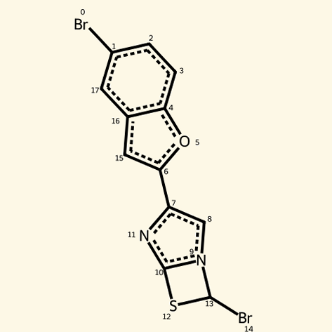 Brc1ccc2oc(-c3cn4c(n3)SC4Br)cc2c1